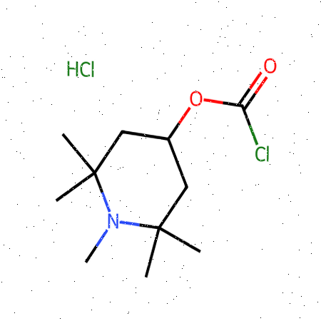 CN1C(C)(C)CC(OC(=O)Cl)CC1(C)C.Cl